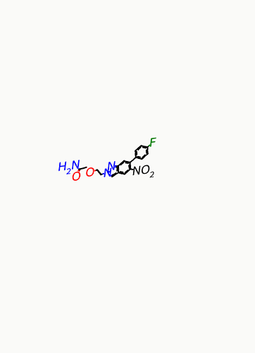 NC(=O)COCCn1cc2cc([N+](=O)[O-])c(-c3ccc(F)cc3)cc2n1